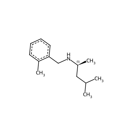 Cc1ccccc1CN[C@@H](C)CC(C)C